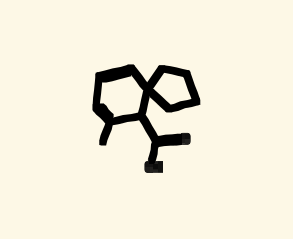 CC1=CC=CC2(CCCC2)C1C(=O)O